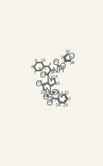 O=C(NC(CC1CCCCC1)C(=O)N1CCC2C1C(=O)CN2S(=O)(=O)C(=O)c1ccccn1)Oc1ccoc1